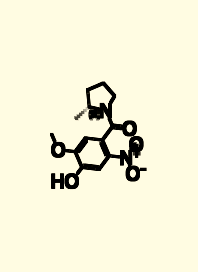 COc1cc(C(=O)N2CCC[C@H]2C)c([N+](=O)[O-])cc1O